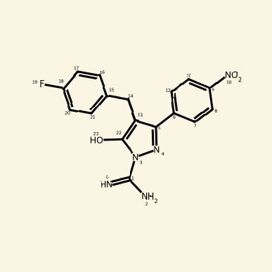 N=C(N)n1nc(-c2ccc([N+](=O)[O-])cc2)c(Cc2ccc(F)cc2)c1O